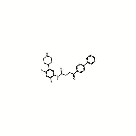 O=C(CCC(=O)c1ccc(-c2ccccc2)cc1)Nc1cc(C2CCNCC2)c(F)cc1F